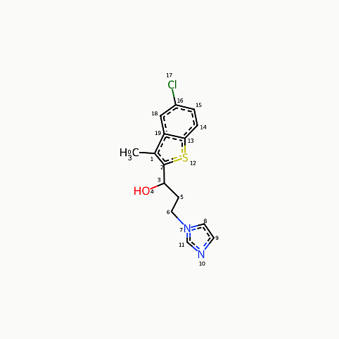 Cc1c(C(O)CCn2ccnc2)sc2ccc(Cl)cc12